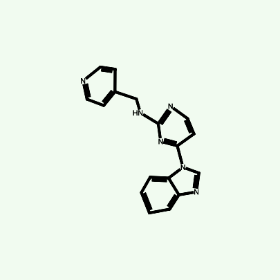 c1ccc2c(c1)ncn2-c1ccnc(NCc2ccncc2)n1